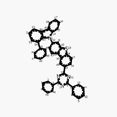 c1ccc(-c2nc(-c3ccccc3)nc(-c3ccc4sc5cc(-n6c7ccccc7c7cccc(-c8ccccc8)c76)ccc5c4c3)n2)cc1